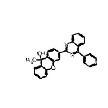 CC1(C)c2ccccc2Oc2cc(-c3nc(-c4ccccc4)c4ccccc4n3)ccc21